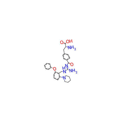 N/C(=N\C(=O)c1ccc(CC(N)C(=O)O)cc1)NCc1c(Oc2ccccc2)cccc1N1CCCCC1